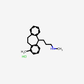 CNCCCC1c2ccccc2CCc2c(C)cccc21.Cl